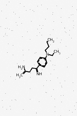 C=CCCN(CC)c1ccc(C(=N)CCC(=C)N)cc1